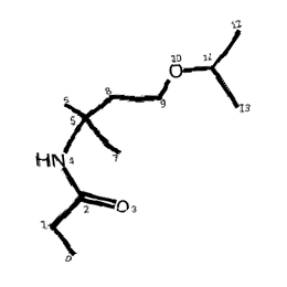 CCC(=O)NC(C)(C)CCOC(C)C